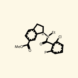 CCN(C(=O)c1c(F)cccc1Cl)[C@@H]1CCc2ccc(C(=O)OC)cc21